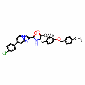 COC(=O)[C@H](Cc1ccc(OCc2ccc(C)cc2)cc1)NC(=O)c1cn2ccc(-c3ccc(Cl)cc3)cc2n1